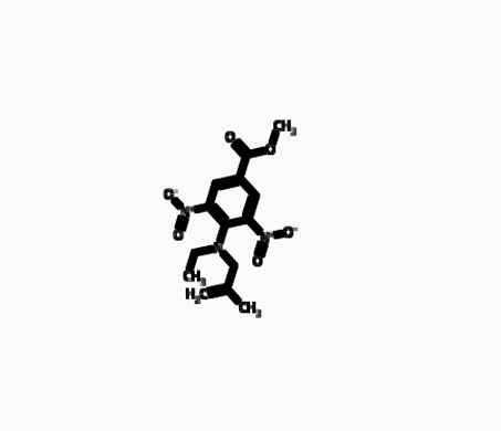 C=C(C)CN(CC)c1c([N+](=O)[O-])cc(C(=O)OC)cc1[N+](=O)[O-]